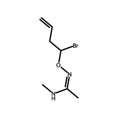 C=CCC(Br)O/N=C(/C)NC